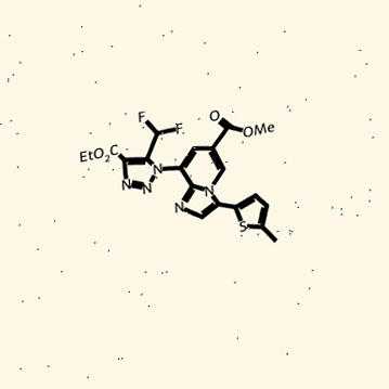 CCOC(=O)c1nnn(-c2cc(C(=O)OC)cn3c(-c4ccc(C)s4)cnc23)c1C(F)F